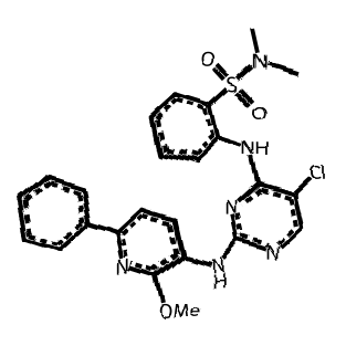 COc1nc(-c2ccccc2)ccc1Nc1ncc(Cl)c(Nc2ccccc2S(=O)(=O)N(C)C)n1